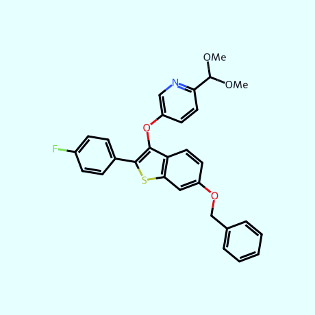 COC(OC)c1ccc(Oc2c(-c3ccc(F)cc3)sc3cc(OCc4ccccc4)ccc23)cn1